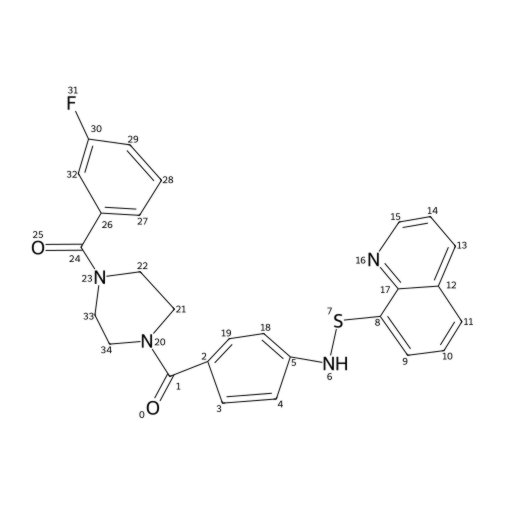 O=C(c1ccc(NSc2cccc3cccnc23)cc1)N1CCN(C(=O)c2cccc(F)c2)CC1